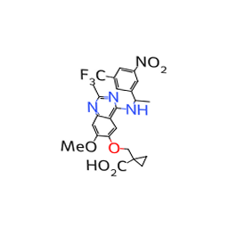 COc1cc2nc(C)nc(NC(C)c3cc([N+](=O)[O-])cc(C(F)(F)F)c3)c2cc1OCC1(C(=O)O)CC1